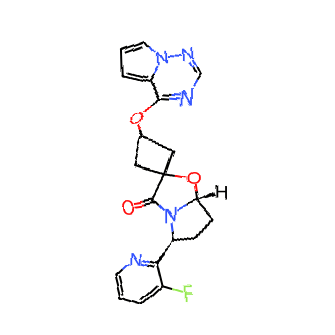 O=C1N2[C@@H](CC[C@H]2c2ncccc2F)OC12CC(Oc1ncnn3cccc13)C2